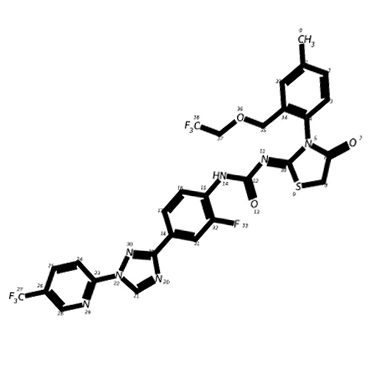 Cc1ccc(N2C(=O)CSC2=NC(=O)Nc2ccc(-c3ncn(-c4ccc(C(F)(F)F)cn4)n3)cc2F)c(COCC(F)(F)F)c1